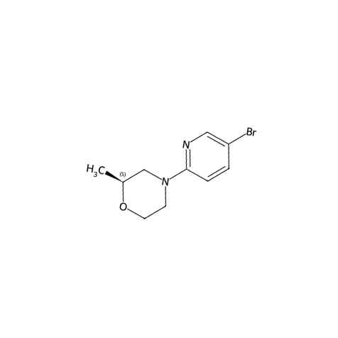 C[C@H]1CN(c2ccc(Br)cn2)CCO1